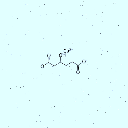 O=C([O-])CCC(O)CC(=O)[O-].[Ca+2]